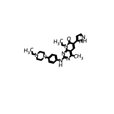 CCN1CCN(c2ccc(Nc3nc(C)c4cc(-c5ccn[nH]5)c(=O)n(CC)c4n3)cc2)CC1